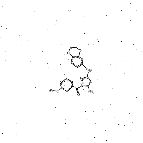 CC(C)Oc1cccc(C(=O)n2nc(Nc3ccc4c(c3)OCCO4)nc2N)c1